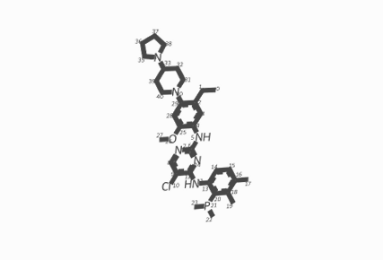 CCc1cc(Nc2ncc(Cl)c(Nc3ccc(C)c(C)c3P(C)C)n2)c(OC)cc1N1CCC(N2CCCC2)CC1